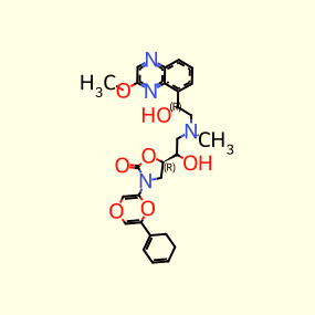 COc1cnc2cccc([C@@H](O)CN(C)CC(O)[C@H]3CN(C4=COC=C(C5=CC=CCC5)O4)C(=O)O3)c2n1